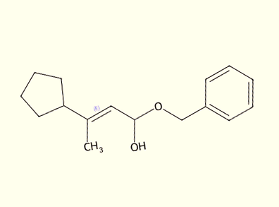 C/C(=C\C(O)OCc1ccccc1)C1CCCC1